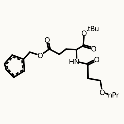 CCCOCCC(=O)NC(CCC(=O)OCc1ccccc1)C(=O)OC(C)(C)C